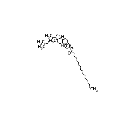 CCCCCCCCC=CCCCCCCCC(=O)OC1CC[C@@]2(C)C(CC=C3[C@@H]4CC[C@H]([C@H](C)CCCC(C)C)[C@@]4(C)CC[C@@H]32)C1